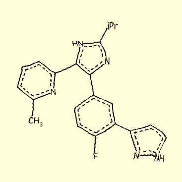 Cc1cccc(-c2[nH]c(C(C)C)nc2-c2ccc(F)c(-c3cc[nH]n3)c2)n1